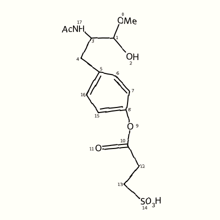 COC(O)C(Cc1ccc(OC(=O)CCS(=O)(=O)O)cc1)NC(C)=O